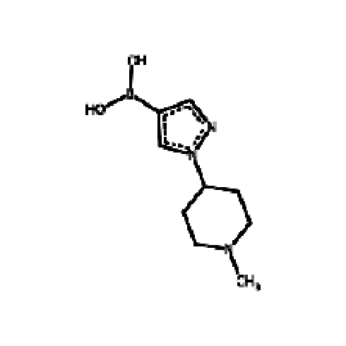 CN1CCC(n2cc(B(O)O)cn2)CC1